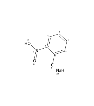 O=S(O)c1ccccc1Cl.[NaH]